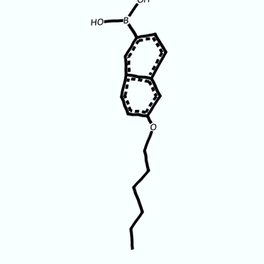 CCCCCCOc1ccc2cc(B(O)O)ccc2c1